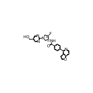 O=C(N[C@@H]1CN(c2ncc(CO)cn2)C[C@H]1F)c1ccc(-c2nccc3occc23)cc1